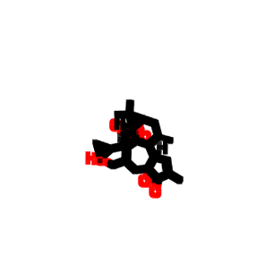 CC1=C[C@H]2[C@@]3(O)[C@H](C)C[C@]4(OC(=O)CC5CC5)[C@@H]([C@@H]3C=C(CO)C[C@]2(O)C1=O)C4(C)C